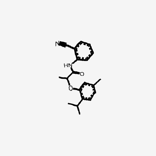 Cc1ccc(C(C)C)c(OC(C)C(=O)Nc2ccccc2C#N)c1